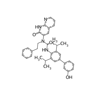 CC(C)c1cc(-c2cccc(O)c2)cc(C(C)C)c1NC(=O)N(CCc1ccccc1)c1cc2cccnc2[nH]c1=O